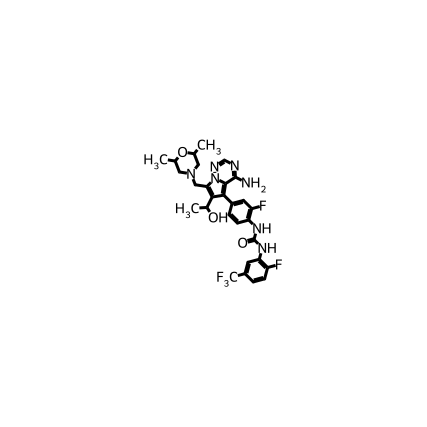 CC1CN(Cc2c(C(C)O)c(-c3ccc(NC(=O)Nc4cc(C(F)(F)F)ccc4F)c(F)c3)c3c(N)ncnn23)CC(C)O1